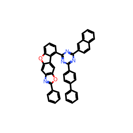 c1ccc(-c2ccc(-c3nc(-c4ccc5ccccc5c4)nc(-c4cccc5oc6cc7nc(-c8ccccc8)oc7cc6c45)n3)cc2)cc1